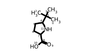 CC(C)(C)C1CCC(C(=O)O)N1